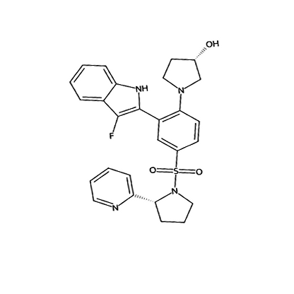 O=S(=O)(c1ccc(N2CC[C@H](O)C2)c(-c2[nH]c3ccccc3c2F)c1)N1CCC[C@@H]1c1ccccn1